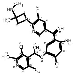 CNC1(C)CN(c2ncc(C(=N)c3cc(O[C@H](C)c4c(Cl)cnc(C)c4Cl)c(Cl)cc3N)cc2F)C1